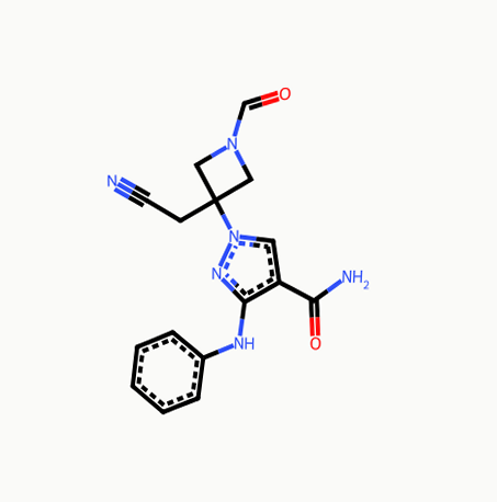 N#CCC1(n2cc(C(N)=O)c(Nc3ccccc3)n2)CN(C=O)C1